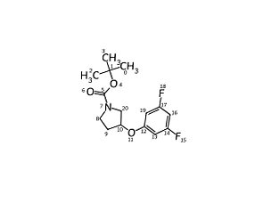 CC(C)(C)OC(=O)N1CCC(Oc2cc(F)cc(F)c2)C1